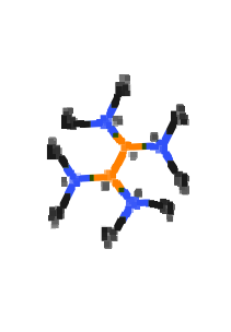 CCN(CC)P(N(CC)CC)P(N(CC)CC)N(CC)CC